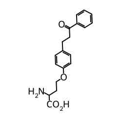 NC(CCOc1ccc(CCC(=O)c2ccccc2)cc1)C(=O)O